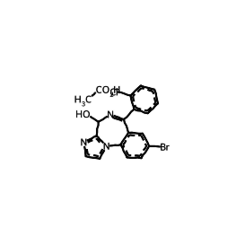 CC(=O)O.OC1N=C(c2ccccc2Cl)c2cc(Br)ccc2-n2ccnc21